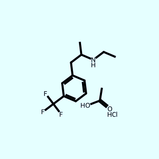 CC(=O)O.CCNC(C)Cc1cccc(C(F)(F)F)c1.Cl